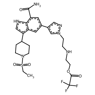 CCS(=O)(=O)N1CCC(c2c[nH]c3c(C(N)=O)cc(-c4cnn(CCNCCOC(=O)C(F)(F)F)c4)cc23)CC1